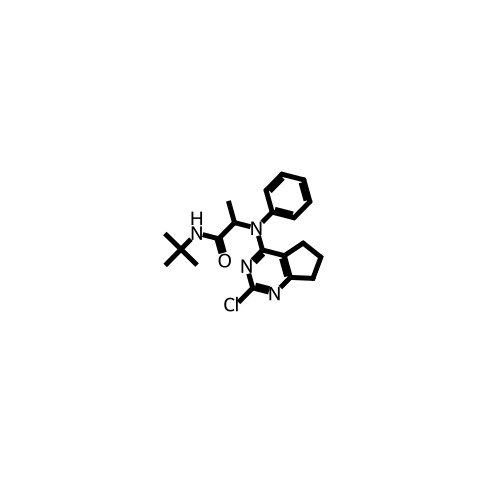 CC(C(=O)NC(C)(C)C)N(c1ccccc1)c1nc(Cl)nc2c1CCC2